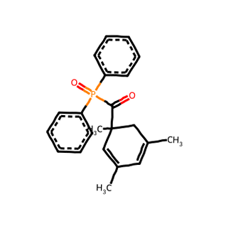 CC1=CC(C)(C(=O)P(=O)(c2ccccc2)c2ccccc2)CC(C)=C1